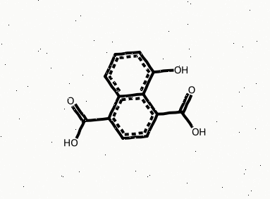 O=C(O)c1ccc(C(=O)O)c2c(O)cccc12